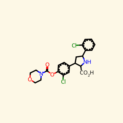 O=C(O)C1NC(c2ccccc2Cl)CC1c1ccc(OC(=O)N2CCOCC2)c(Cl)c1